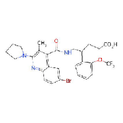 Cc1c(N2CCCC2)nc2ccc(Br)cc2c1C(=O)NCC(CCC(=O)O)c1ccccc1OC(F)(F)F